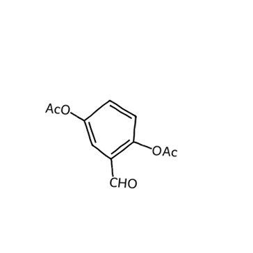 CC(=O)Oc1ccc(OC(C)=O)c(C=O)c1